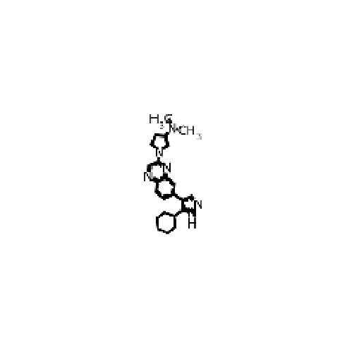 CN(C)C1CCN(c2cnc3ccc(-c4cn[nH]c4C4CCCCC4)cc3n2)C1